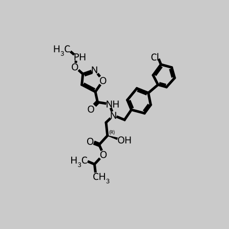 CPOc1cc(C(=O)NN(Cc2ccc(-c3cccc(Cl)c3)cc2)C[C@@H](O)C(=O)OC(C)C)on1